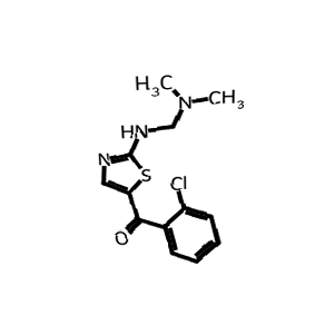 CN(C)CNc1ncc(C(=O)c2ccccc2Cl)s1